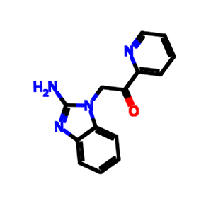 Nc1nc2ccccc2n1CC(=O)c1ccccn1